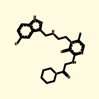 Cc1cnc(NCC(=O)N2CCCCC2)c(=O)n1CCNCc1n[nH]c2ccc(Cl)cc12